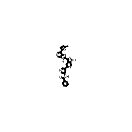 Cc1ccc(-c2cncc3[nH]c(-c4n[nH]c5cnc(-c6cncc(NC(=O)c7ccccc7)c6)cc45)nc23)s1